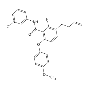 C=CCCc1ccc(Oc2ccc(OC(F)(F)F)cc2)c(C(=O)Nc2ccc[n+]([O-])c2)c1F